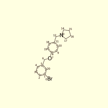 Brc1cccc(COc2ccc(CN3CCCC3)cc2)c1